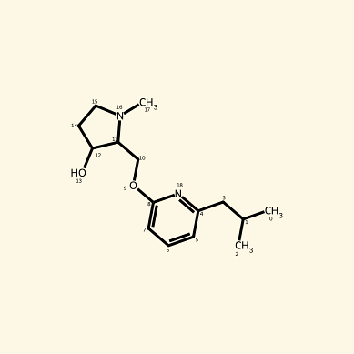 CC(C)Cc1cccc(OCC2C(O)CCN2C)n1